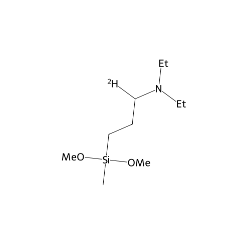 [2H]C(CC[Si](C)(OC)OC)N(CC)CC